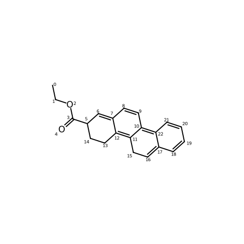 CCOC(=O)C1C=c2ccc3c(c2CC1)CC=c1ccccc1=3